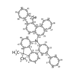 CC1(C)c2ccccc2-c2c(N(c3ccc(-c4ccccc4)cc3)c3cc4ccccc4c4c3ccc3c5ccccc5[se]c34)cccc21